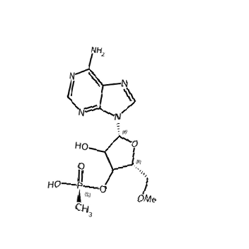 COC[C@H]1O[C@@H](n2cnc3c(N)ncnc32)C(O)C1O[P@@](C)(=O)O